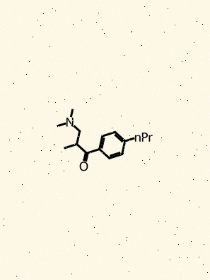 CCCc1ccc(C(=O)C(C)CN(C)C)cc1